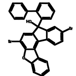 OC1(c2ccccc2-c2ccccc2)c2cc(Br)ccc2-c2c1cc(Br)c1oc3ccccc3c21